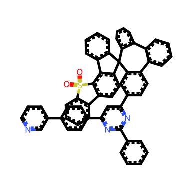 O=S1(=O)c2ccccc2-c2ccc3c(c21)-c1ccccc1C31c2ccccc2-c2ccccc2-c2ccc(-c3cc(-c4ccc(-c5cccnc5)cc4)nc(-c4ccccc4)n3)cc21